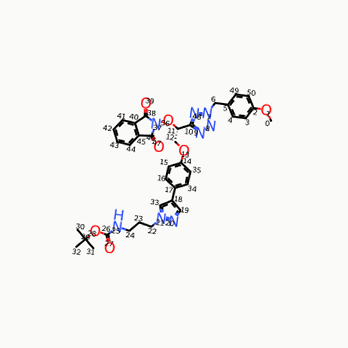 COc1ccc(Cn2nnc([C@H](COc3ccc(-c4cnn(CCCNC(=O)OC(C)(C)C)c4)cc3)ON3C(=O)c4ccccc4C3=O)n2)cc1